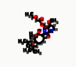 CCOCC(=O)OCOc1c(OC)ccnc1C(=O)N[C@H]1CCC[C@H](CCC(C)C)[C@@H](OCC(C)C)[C@H](C)OC1=O